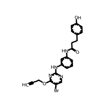 C#CCOc1nc(Nc2cccc(NC(=O)CCc3ccc(O)cc3)c2)ncc1Br